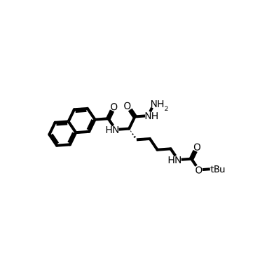 CC(C)(C)OC(=O)NCCCC[C@H](NC(=O)c1ccc2ccccc2c1)C(=O)NN